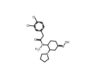 CN(C(=O)Cc1ccc(Cl)c(Cl)c1)C1CCC(=NO)CC1N1CCCC1